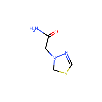 NC(=O)CN1CSC=N1